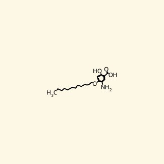 CCCCCCCCCCCCOc1cc(O)c(C(=O)O)cc1N